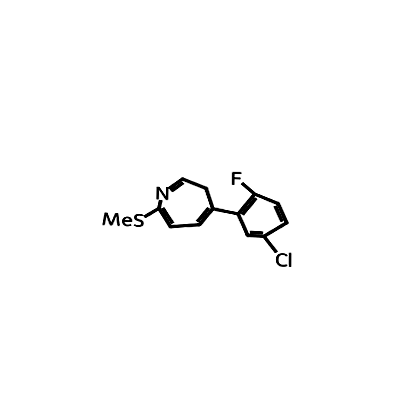 CSC1=CC=C(c2cc(Cl)ccc2F)CC=N1